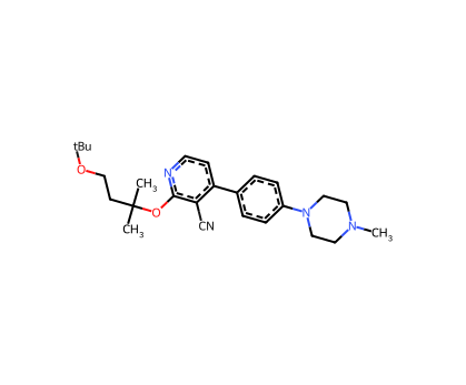 CN1CCN(c2ccc(-c3ccnc(OC(C)(C)CCOC(C)(C)C)c3C#N)cc2)CC1